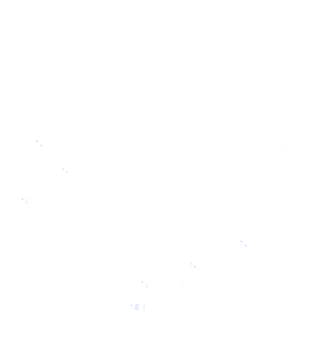 Cc1ccc(Br)cc1N1C(=O)CS/C1=N\C(=S)NNC(C)c1ccc(-c2ncn(-c3ccc(OC(F)(F)F)cc3)n2)cc1